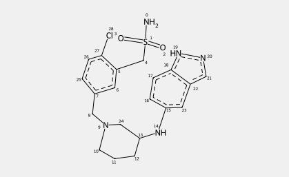 NS(=O)(=O)Cc1cc(CN2CCCC(Nc3ccc4[nH]ncc4c3)C2)ccc1Cl